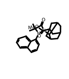 COC(=O)C12CC3CC(C1)C(N1C(=O)C(C)(C)N1c1cccc4ccccc14)C(C3)C2